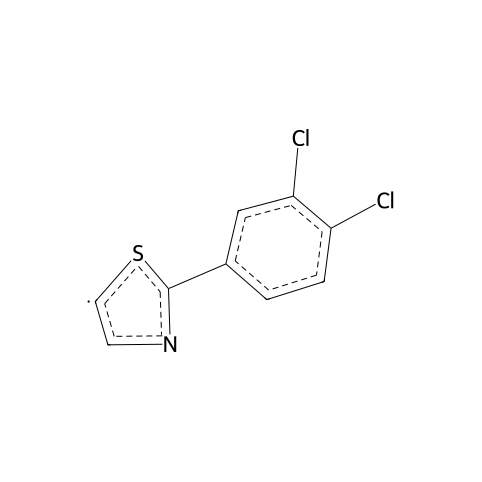 Clc1ccc(-c2nc[c]s2)cc1Cl